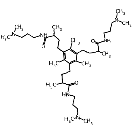 Cc1c(CCC(C)C(=O)NCCCN(C)C)c(C)c(CCC(C)C(=O)NCCCN(C)C)c(C)c1CCC(C)C(=O)NCCCN(C)C